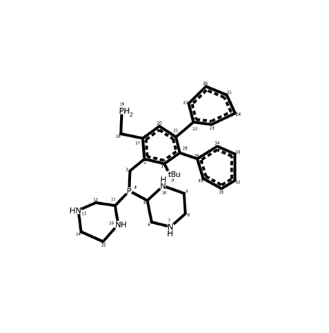 CC(C)(C)c1c(CP(C2CNCCN2)C2CNCCN2)c(CP)cc(-c2ccccc2)c1-c1ccccc1